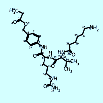 CCC(=O)OCc1ccc(NC(=O)[C@H](CCCNC(N)=O)NC(=O)[C@@H](NC(=O)CCCCCN)C(C)C)cc1